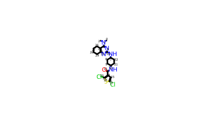 CN(C)c1nc(NC2CCC(NC(=O)c3cc(Cl)sc3Cl)CC2)nc2c1CCCC2